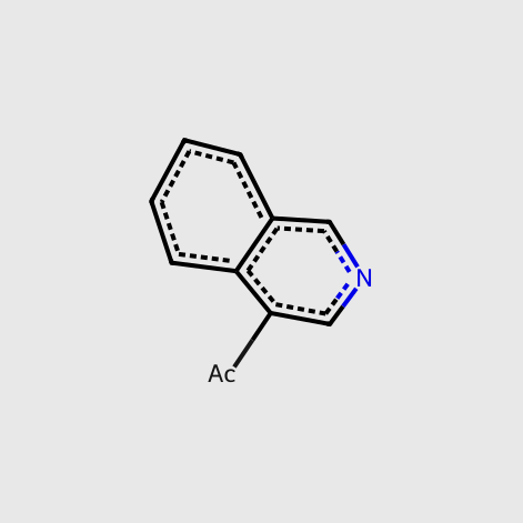 CC(=O)c1cncc2ccccc12